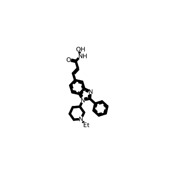 CCN1CCCC(n2c(-c3ccccc3)nc3cc(C=CC(=O)NO)ccc32)C1